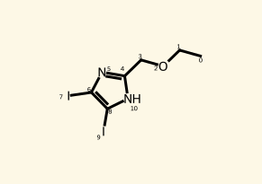 CCOCc1nc(I)c(I)[nH]1